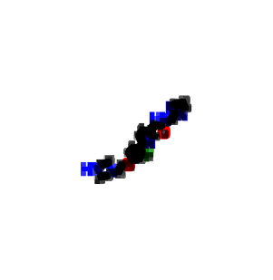 O=C(Cc1ccc(-c2ccc(OCCN3CCNCC3)cc2F)nc1)NCc1ncccn1